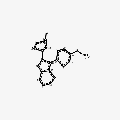 Cn1cnc(-c2cc3ccccc3n2-c2ccc(CN)cc2)c1